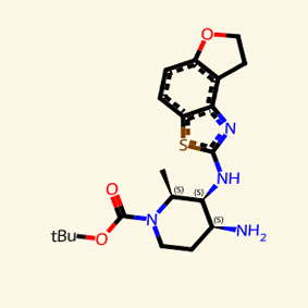 C[C@H]1[C@@H](Nc2nc3c4c(ccc3s2)OCC4)[C@@H](N)CCN1C(=O)OC(C)(C)C